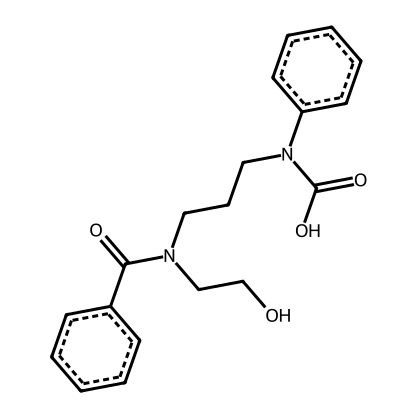 O=C(c1ccccc1)N(CCO)CCCN(C(=O)O)c1ccccc1